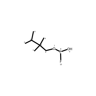 CC(C)C(C)(C)COP(O)F